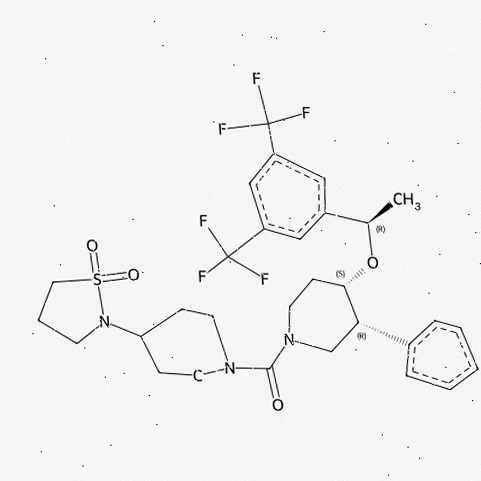 C[C@@H](O[C@H]1CCN(C(=O)N2CCC(N3CCCS3(=O)=O)CC2)C[C@H]1c1ccccc1)c1cc(C(F)(F)F)cc(C(F)(F)F)c1